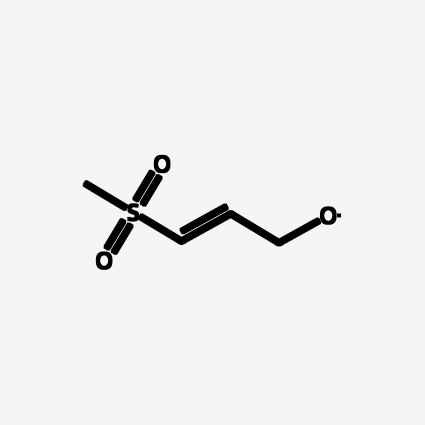 CS(=O)(=O)C=CC[O]